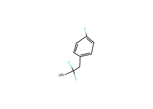 [CH2]CCC(F)(F)Cc1ccc(F)cc1